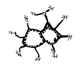 [2H]c1c([2H])c([2H])c2c(N([2H])[2H])c([2H])c([2H])c([2H])c2c1[2H]